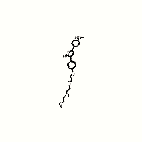 CNc1ccc(-c2cc(-c3ccc(OCCOCCOCCOC)cc3)[nH]n2)cc1